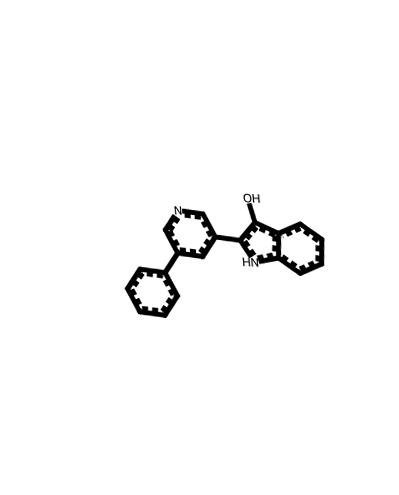 Oc1c(-c2cncc(-c3ccccc3)c2)[nH]c2ccccc12